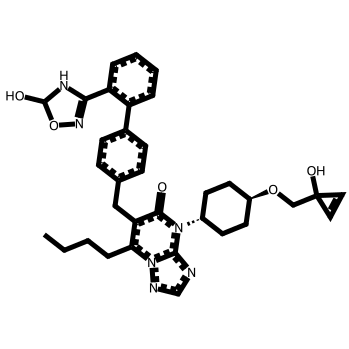 CCCCc1c(Cc2ccc(-c3ccccc3C3=NOC(O)N3)cc2)c(=O)n([C@H]2CC[C@H](OCC3(O)C=C3)CC2)c2ncnn12